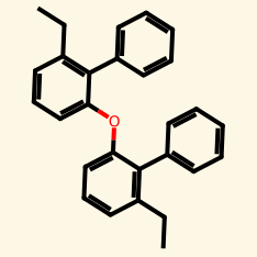 CCc1cccc(Oc2cccc(CC)c2-c2ccccc2)c1-c1ccccc1